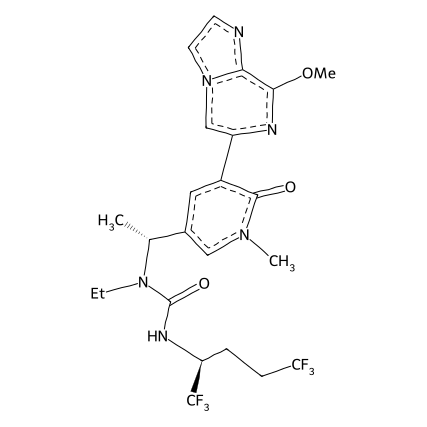 CCN(C(=O)N[C@@H](CCC(F)(F)F)C(F)(F)F)[C@H](C)c1cc(-c2cn3ccnc3c(OC)n2)c(=O)n(C)c1